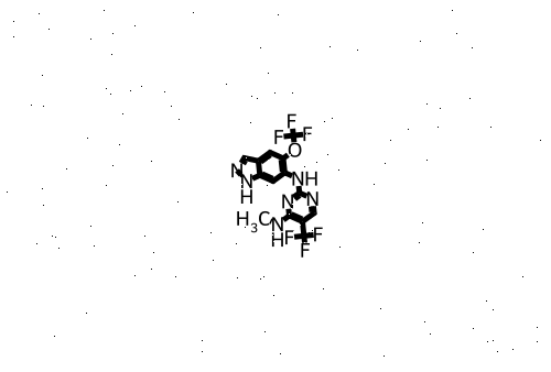 CNc1nc(Nc2cc3[nH]ncc3cc2OC(F)(F)F)ncc1C(F)(F)F